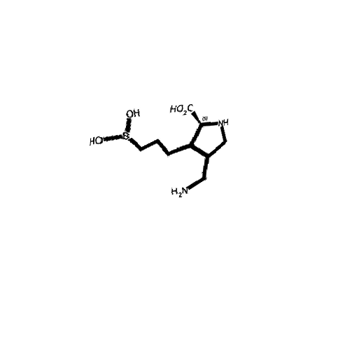 NCC1CN[C@H](C(=O)O)C1CCCB(O)O